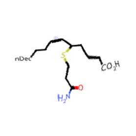 CCCCCCCCCCCC/C=C\C(CCCC(=O)O)SCCC(N)=O